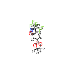 CC1(C)OB(c2ccc(C(N=O)(C(F)(F)F)C(F)(F)F)cc2)OC1(C)C